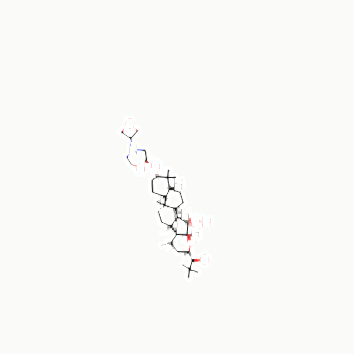 C[C@@H]1C[C@H](C(=O)C(C)(C)C)O[C@H]2C1[C@@]1(C)CC[C@@]34C[C@@]35CC[C@H](O[C@H]3CN(C6COC6)CCO3)C(C)(C)[C@@H]5CC[C@H]4[C@]1(C)[C@H]2O